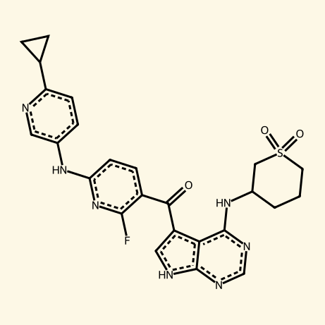 O=C(c1ccc(Nc2ccc(C3CC3)nc2)nc1F)c1c[nH]c2ncnc(NC3CCCS(=O)(=O)C3)c12